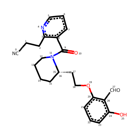 N#CCCc1ncccc1C(=O)N1CCCC[C@H]1CCOc1cccc(O)c1C=O